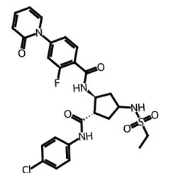 CCS(=O)(=O)NC1C[C@H](NC(=O)c2ccc(-n3ccccc3=O)cc2F)[C@@H](C(=O)Nc2ccc(Cl)cc2)C1